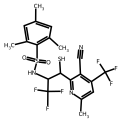 Cc1cc(C)c(S(=O)(=O)NC(C(S)c2nc(C)cc(C(F)(F)F)c2C#N)C(F)(F)F)c(C)c1